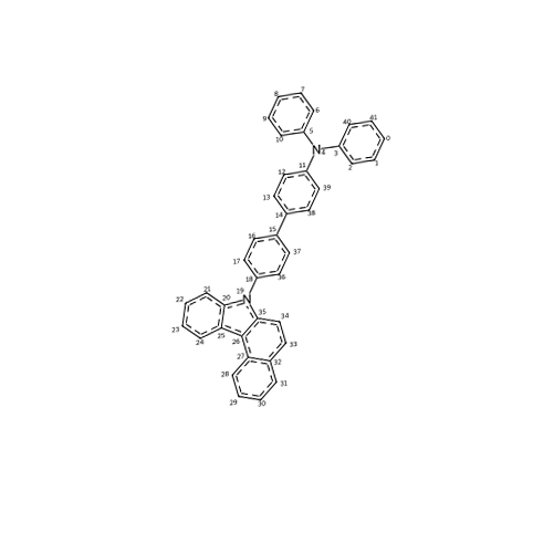 c1ccc(N(c2ccccc2)c2ccc(-c3ccc(-n4c5ccccc5c5c6ccccc6ccc54)cc3)cc2)cc1